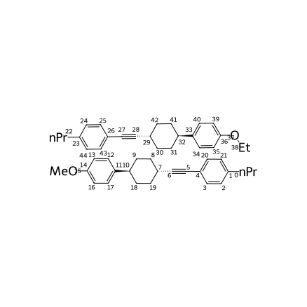 CCCc1ccc(C#C[C@H]2CC[C@H](c3ccc(OC)cc3)CC2)cc1.CCCc1ccc(C#C[C@H]2CC[C@H](c3ccc(OCC)cc3)CC2)cc1